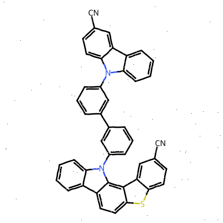 N#Cc1ccc2sc3ccc4c5ccccc5n(-c5cccc(-c6cccc(-n7c8ccccc8c8cc(C#N)ccc87)c6)c5)c4c3c2c1